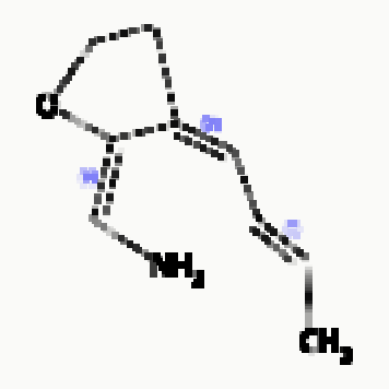 C/C=C/C=C1/CCO/C1=C/N